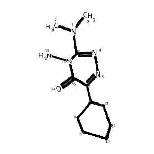 CN(C)c1nnc(C2CCCCC2)c(=O)n1N